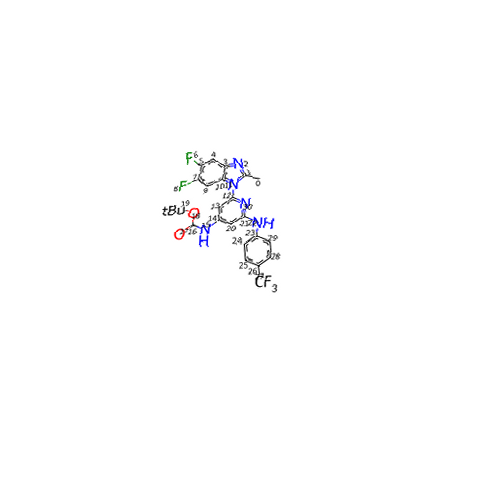 Cc1nc2cc(F)c(F)cc2n1-c1cc(NC(=O)OC(C)(C)C)cc(Nc2ccc(C(F)(F)F)cc2)n1